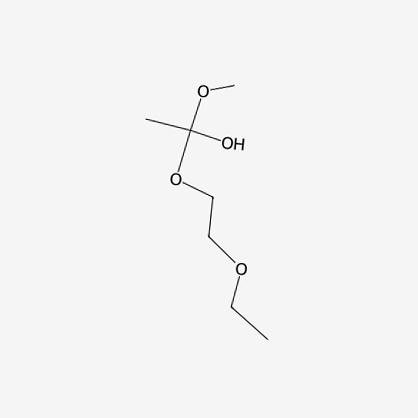 CCOCCOC(C)(O)OC